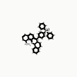 CC1CC=Cc2ccc3c(c21)=NC1c2ccccc2C=CC1C=3c1ccc(P(=O)(c2ccccc2)c2ccccc2)cc1